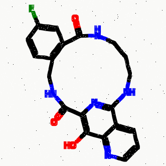 O=C1NCCCNc2nc(c(O)c3ncccc23)C(=O)NCc2ccc(F)cc21